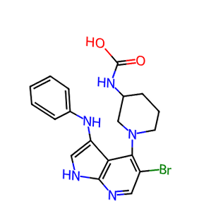 O=C(O)NC1CCCN(c2c(Br)cnc3[nH]cc(Nc4ccccc4)c23)C1